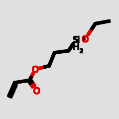 C=CC(=O)OCCC[SiH2]OCC